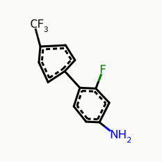 Nc1ccc(-c2ccc(C(F)(F)F)cc2)c(F)c1